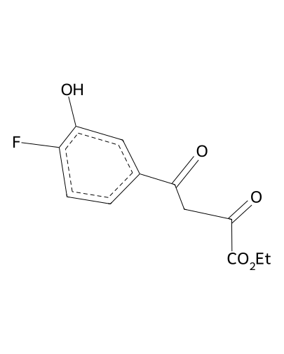 CCOC(=O)C(=O)CC(=O)c1ccc(F)c(O)c1